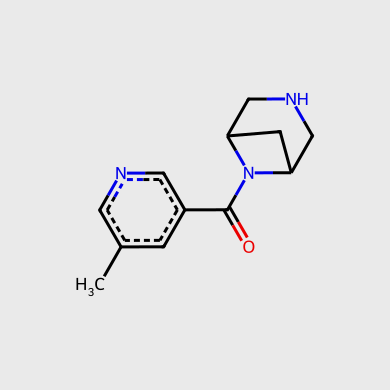 Cc1cncc(C(=O)N2C3CNCC2C3)c1